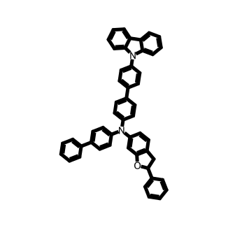 c1ccc(-c2ccc(N(c3ccc(-c4ccc(-n5c6ccccc6c6ccccc65)cc4)cc3)c3ccc4c(c3)OC(c3ccccc3)C4)cc2)cc1